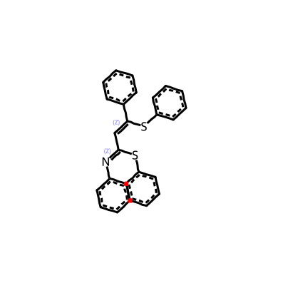 C(=C(/Sc1ccccc1)c1ccccc1)/C(=N/c1ccccc1)Sc1ccccc1